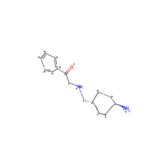 N[C@H]1CC[C@H](CNCC(=O)c2ccccc2)CC1